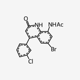 CC(=O)Nc1cc(Br)cc2c(-c3cccc(Cl)c3)cc(=O)[nH]c12